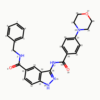 O=C(NCc1ccccc1)c1ccc2[nH]nc(NC(=O)c3ccc(N4CCOCC4)cc3)c2c1